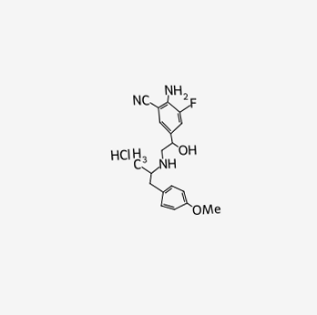 COc1ccc(CC(C)NCC(O)c2cc(F)c(N)c(C#N)c2)cc1.Cl